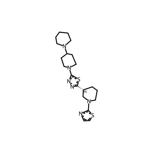 c1csc(N2CCC[C@@H](c3nnc(N4CCC(N5CCCCC5)CC4)s3)C2)n1